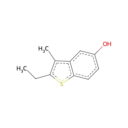 CCc1sc2ccc(O)cc2c1C